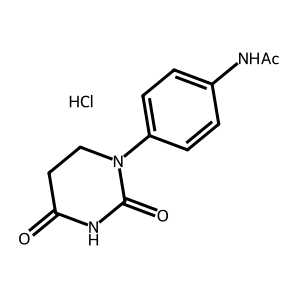 CC(=O)Nc1ccc(N2CCC(=O)NC2=O)cc1.Cl